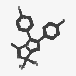 CC1=NC(C(F)(F)F)(C(F)(F)F)C2=NC(c3ccc(F)cc3)=C(c3ccc(F)cc3)[N+]12